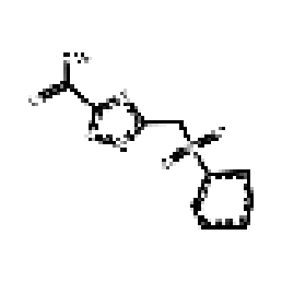 COC(=O)c1noc(CS(=O)(=O)c2ccccc2)n1